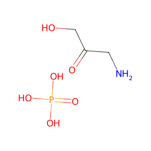 NCC(=O)CO.O=P(O)(O)O